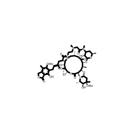 CC[C@H]1OC(=O)[C@H](C)[C@@H](O[C@H]2C[C@@](C)(OC)[C@@H](O)[C@H](C)O2)[C@H](C)[C@@H](O[C@@H]2O[C@H](C)CC(N(C)C(=O)CN(C)CCOC(=O)CC/C(C)=C/Cc3c(O)c4c(c(C)c3OC)COC4=O)[C@H]2O)[C@](C)(O)C[C@@H](C)CN(C)[C@H](C)[C@@H](O)[C@]1(C)O